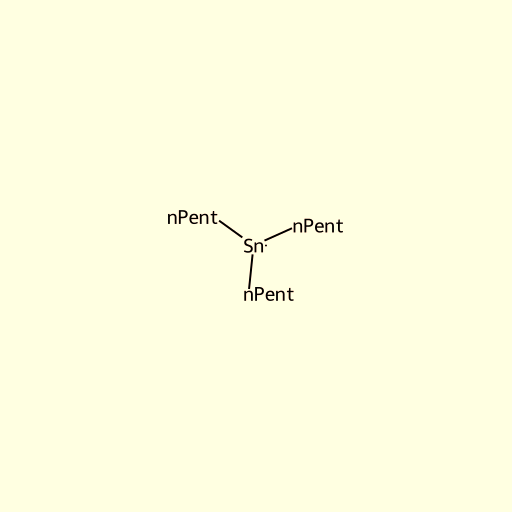 CCCC[CH2][Sn]([CH2]CCCC)[CH2]CCCC